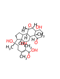 CC(C[C@@H](O)[C@](C)(O)[C@H]1CC[C@H]2[C@@H]3[C@@H]4O[C@@H]4[C@@]4(O)CC=CC(=O)[C@]4(C)[C@H]3CC[C@]12C)=C(C)C(=O)O